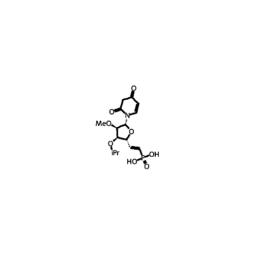 CO[C@@H]1[C@H](OC(C)C)[C@@H](/C=C/P(=O)(O)O)O[C@H]1N1C=CC(=O)CC1=O